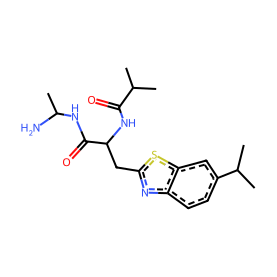 CC(N)NC(=O)C(Cc1nc2ccc(C(C)C)cc2s1)NC(=O)C(C)C